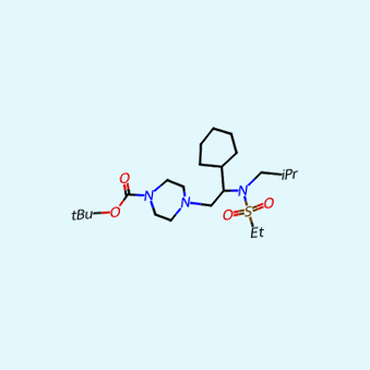 CCS(=O)(=O)N(CC(C)C)C(CN1CCN(C(=O)OC(C)(C)C)CC1)C1CCCCC1